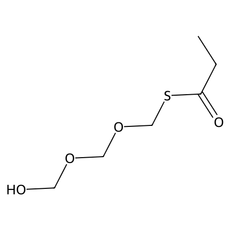 CCC(=O)SCOCOCO